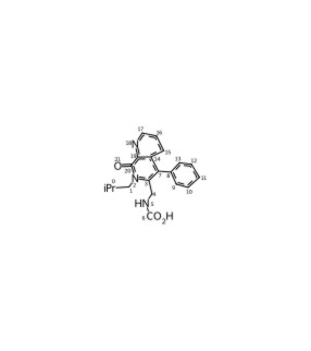 CC(C)Cn1c(CNC(=O)O)c(-c2ccccc2)c2cccnc2c1=O